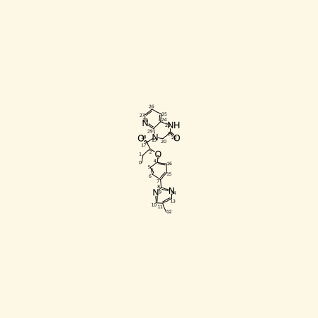 CCC(Oc1ccc(-c2ncc(C)cn2)cc1)C(=O)N1CC(=O)Nc2cccnc21